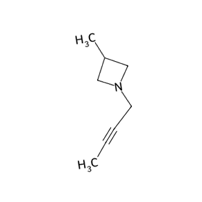 CC#CCN1CC(C)C1